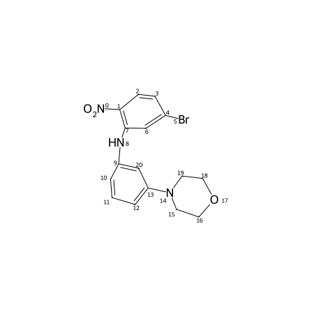 O=[N+]([O-])c1ccc(Br)cc1Nc1cccc(N2CCOCC2)c1